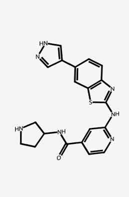 O=C(NC1CCNC1)c1ccnc(Nc2nc3ccc(-c4cn[nH]c4)cc3s2)c1